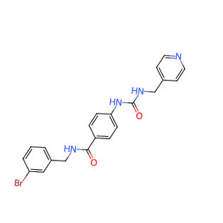 O=C(NCc1ccncc1)Nc1ccc(C(=O)NCc2cccc(Br)c2)cc1